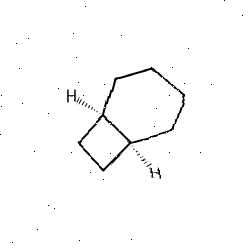 C1CC[C@H]2CC[C@H]2C1